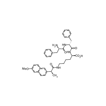 COc1ccc2cc([C@H](C)C(=O)NCCCC[C@@H](NC(=O)[C@@H](Cc3ccccc3)NC(=O)[C@H](N)Cc3ccccc3)C(=O)O)ccc2c1